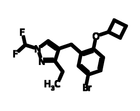 CCc1nn(C(F)F)cc1Cc1cc(Br)ccc1OC1CCC1